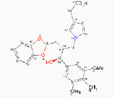 COc1cc([C@@H](O)[C@H](CC2Oc3ccccc3O2)Cn2ccc(CC(=O)O)c2)cc(OC)c1C